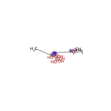 CCCCCCCCCCCCCC[C@@H](O)[C@@H](O)[C@H](COC1OC(CO)C(O)C(O)C1O)n1nnn(CCCCCCCCCCC2CCN(CC(=O)OC(C)(C)C)CC2)c1=O